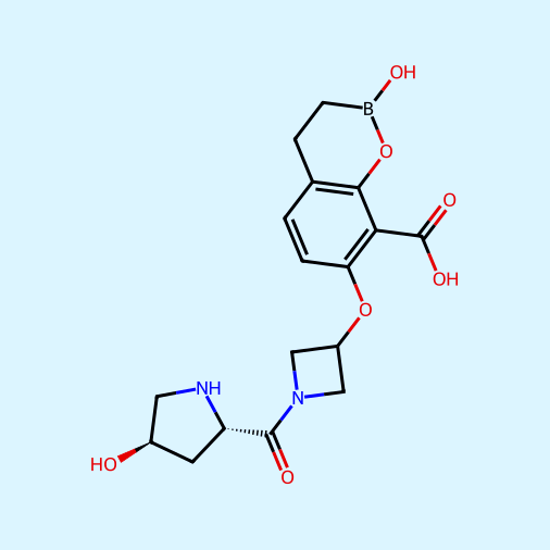 O=C(O)c1c(OC2CN(C(=O)[C@@H]3C[C@@H](O)CN3)C2)ccc2c1OB(O)CC2